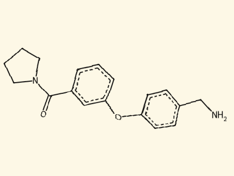 NCc1ccc(Oc2cccc(C(=O)N3CCCC3)c2)cc1